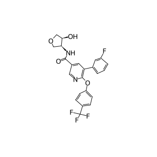 O=C(N[C@H]1COC[C@H]1O)c1cnc(Oc2ccc(C(F)(F)F)cc2)c(-c2cccc(F)c2)c1